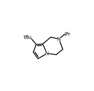 CC(C)N1CCn2ccc(C(C)(C)C)c2C1